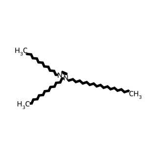 CCCCCCCCCCCCCCCCCCCN1C=CN(CCCCCCCCCCCC)C1CCCCCCCCCCCC